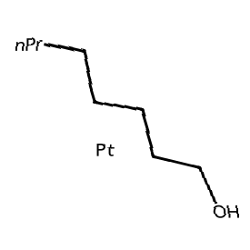 CCCCCCCCO.[Pt]